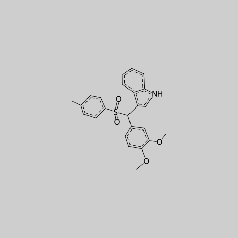 COc1ccc(C(c2c[nH]c3ccccc23)S(=O)(=O)c2ccc(C)cc2)cc1OC